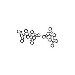 c1ccc(N2c3ccccc3B3c4ccccc4N(c4c5oc6ccccc6c5cc5c4oc4ccc(-c6ccc7oc8c(N9c%10ccccc%10B%10c%11ccccc%11N(c%11c%12oc%13ccccc%13c%12cc%12c%11oc%11ccccc%11%12)c%11cccc9c%11%10)c9oc%10ccccc%10c9cc8c7c6)cc45)c4cccc2c43)cc1